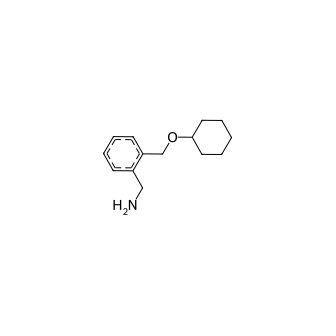 NCc1ccccc1COC1CCCCC1